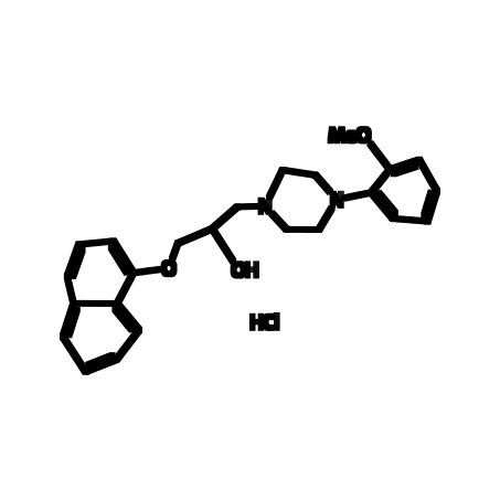 COc1ccccc1N1CCN(CC(O)COc2cccc3ccccc23)CC1.Cl